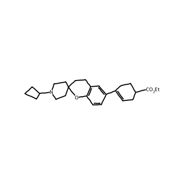 CCOC(=O)C1CC=C(c2ccc3c(c2)CCC2(CCN(C4CCC4)CC2)O3)CC1